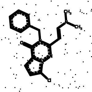 CN(C)/C=C/c1nn2c(Cl)ccc2c(=O)n1Cc1ccccc1